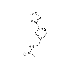 O=C(I)NCc1csc(-c2cccs2)n1